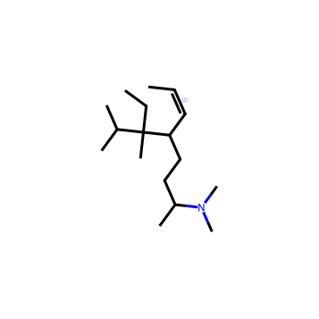 C/C=C\C(CCC(C)N(C)C)C(C)(CC)C(C)C